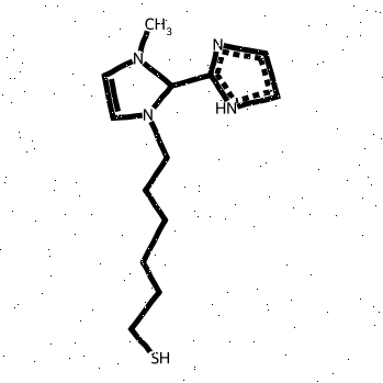 CN1C=CN(CCCCCCS)C1c1ncc[nH]1